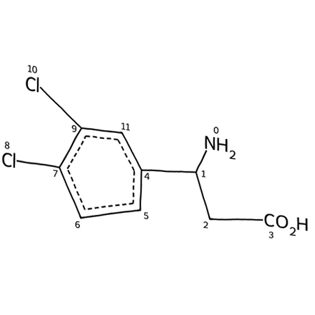 NC(CC(=O)O)c1ccc(Cl)c(Cl)c1